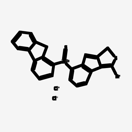 [Cl-].[Cl-].[S]=[Zr+2]([c]1cccc2c1C=C1CSC(Br)=C12)[c]1cccc2c1Cc1ccccc1-2